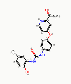 CNC(=O)c1cc(Oc2ccc(NC(=O)Nc3cc(C(F)(F)F)ccc3O)cc2)ccn1